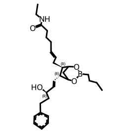 CCCCB1OC2CC(O1)[C@H](CC=CCCCC(=O)NCC)[C@H]2C=C[C@H](O)CCc1ccccc1